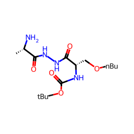 CCCCOC[C@H](NC(=O)OC(C)(C)C)C(=O)NNC(=O)[C@H](C)N